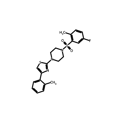 Cc1ccccc1-c1csc(N2CCN(S(=O)(=O)c3cc(F)ccc3C)CC2)n1